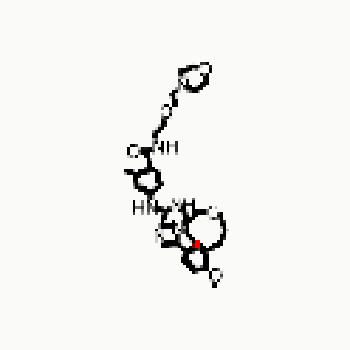 COc1ccc(-c2cnc3n2C2(CCCCCCCC2)CNC3Nc2ccc(C(=O)NCCOCCN3CCOCC3)c(C)c2)cc1